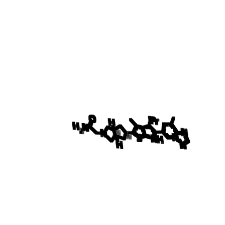 Cc1c([C@H]2C[C@@H]3CN(CC(N)=O)C[C@@H]3C2)sc2[nH]c(-c3cc(C)c4ncnn4c3)c(C(C)C)c12